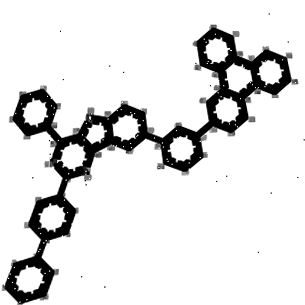 c1ccc(-c2ccc(-c3nc(-c4ccccc4)c4oc5ccc(-c6cccc(-c7ccc8c9ccccc9c9ccccc9c8c7)c6)cc5c4n3)cc2)cc1